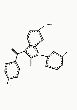 COc1ccc(C(=O)c2c(C)n(-c3cccc(O)c3)c3cc(OC(F)(F)F)ccc23)cc1